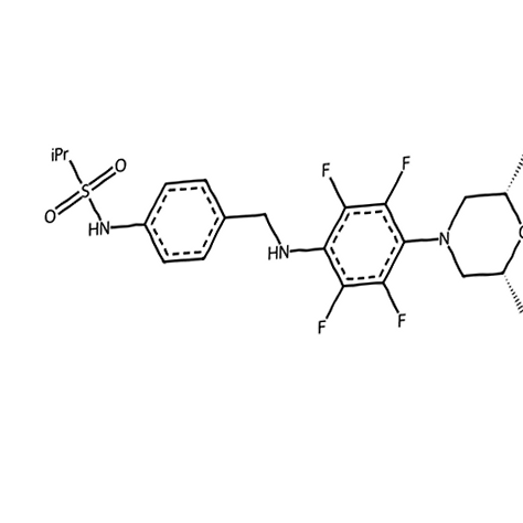 CC(C)S(=O)(=O)Nc1ccc(CNc2c(F)c(F)c(N3C[C@@H](C)O[C@@H](C)C3)c(F)c2F)cc1